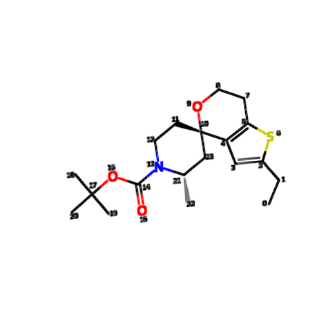 CCc1cc2c(s1)CCO[C@]21CCN(C(=O)OC(C)(C)C)[C@@H](C)C1